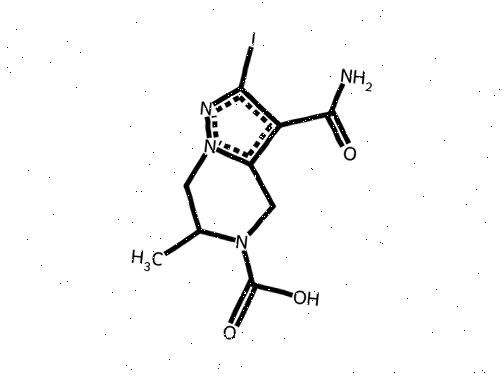 CC1Cn2nc(I)c(C(N)=O)c2CN1C(=O)O